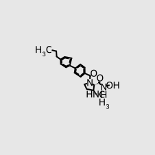 CCCc1ccc(-c2ccc(C(=O)N3CC[C@H](NC)[C@H]3C(=O)NO)cc2)cc1